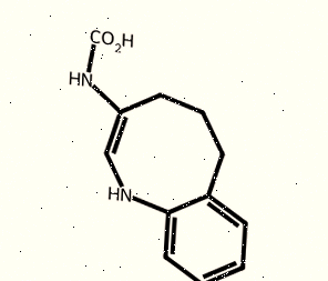 O=C(O)NC1=CNc2ccccc2CCC1